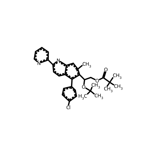 Cc1cc2nc(-c3ccccn3)ccc2c(-c2ccc(Cl)cc2)c1C(COC(=O)C(C)(C)C)OC(C)(C)C